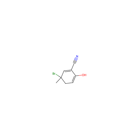 CC1(Br)C=C(C#N)C(O)=CC1